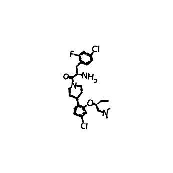 CC[C@@H](CN(C)C)Oc1cc(Cl)ccc1C1CCN(C(=O)[C@H](N)Cc2ccc(Cl)cc2F)CC1